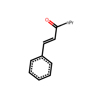 CCCC(=O)/C=C/c1ccccc1